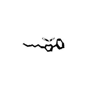 CCCCCC=C1C=CC(c2ccccc2)=CC1.N=C=O